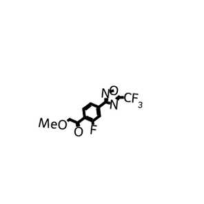 COCC(=O)c1ccc(-c2noc(C(F)(F)F)n2)cc1F